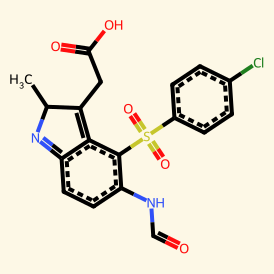 CC1N=c2ccc(NC=O)c(S(=O)(=O)c3ccc(Cl)cc3)c2=C1CC(=O)O